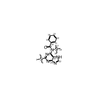 C[Si](C)(C)c1nc(N(C(=O)c2ccccc2)[Si](C)(C)C)c2[nH]cnc2n1